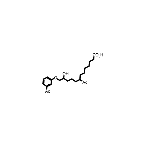 CC(=O)c1cccc(OCC(O)CCCC(CCCCCCC(=O)O)C(C)=O)c1